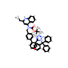 CCc1cc(N(Cc2ccc(-c3ccccc3-c3nnnn3C(c3ccccc3)(c3ccccc3)c3ccccc3)cc2)C(=O)OC(C)(C)C)c2ccccc2n1